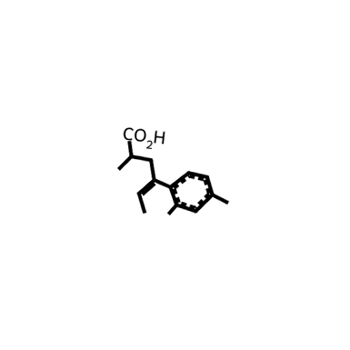 C/C=C(/CC(C)C(=O)O)c1ccc(C)cc1C